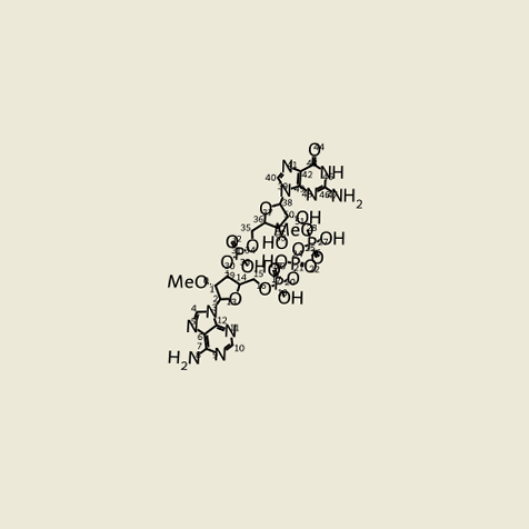 CO[C@H]1C(n2cnc3c(N)ncnc32)OC(COP(=O)(O)OP(=O)(O)OP(=O)(O)OC)[C@H]1OP(=O)(O)OCC1OC(n2cnc3c(=O)[nH]c(N)nc32)[C@H](O)[C@@H]1O